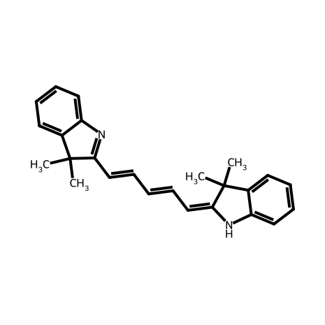 CC1(C)C(C=CC=CC=C2Nc3ccccc3C2(C)C)=Nc2ccccc21